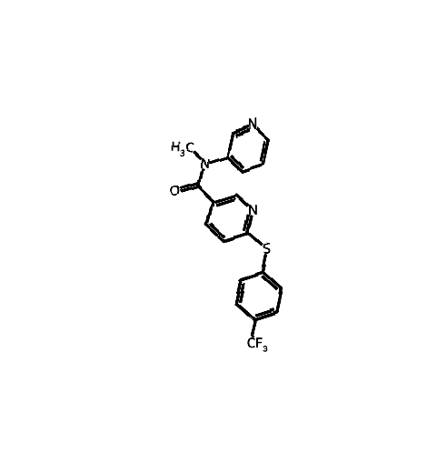 CN(C(=O)c1ccc(Sc2ccc(C(F)(F)F)cc2)nc1)c1cccnc1